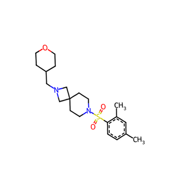 Cc1ccc(S(=O)(=O)N2CCC3(CC2)CN(CC2CCOCC2)C3)c(C)c1